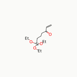 C=CC(=O)CCC[Si](OCC)(OCC)OCC